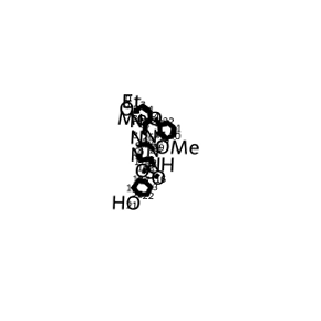 CCOc1cccc(-c2nc3ncc(NS(=O)(=O)C4CCC(O)CC4)nc3n2-c2c(OC)cccc2OC)n1